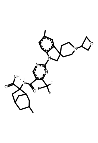 Cc1ccc2c(c1)C1(CCN(C3COC3)CC1)CN2c1ncc(C(=O)NC2(C(N)=O)CC3CC(C)CC2C3)c(C(F)(F)F)n1